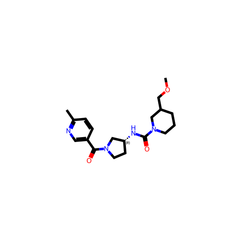 COCC1CCCN(C(=O)N[C@@H]2CCN(C(=O)c3ccc(C)nc3)C2)C1